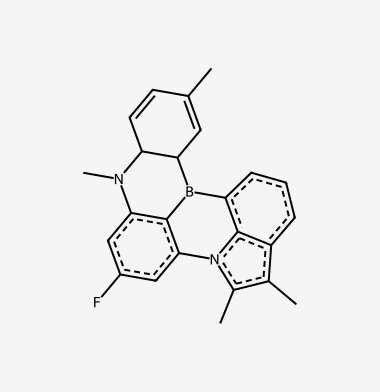 CC1=CC2B3c4c(cc(F)cc4-n4c(C)c(C)c5cccc3c54)N(C)C2C=C1